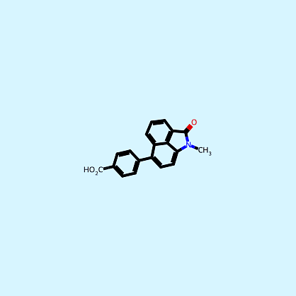 CN1C(=O)c2cccc3c(-c4ccc(C(=O)O)cc4)ccc1c23